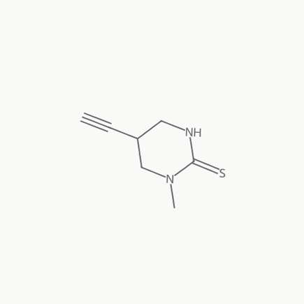 C#CC1CNC(=S)N(C)C1